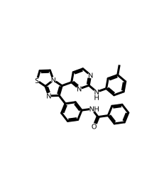 Cc1cccc(Nc2nccc(-c3c(-c4cccc(NC(=O)c5ccccc5)c4)nc4sccn34)n2)c1